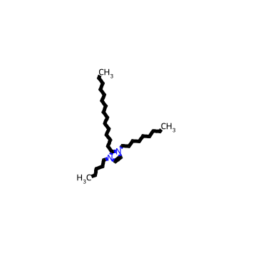 CCCCCCCCCCCCCCC1N(CCCCC)C=CN1CCCCCCCCC